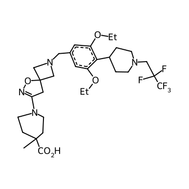 CCOc1cc(CN2CC3(CC(N4CCC(C)(C(=O)O)CC4)=NO3)C2)cc(OCC)c1C1CCN(CC(F)(F)C(F)(F)F)CC1